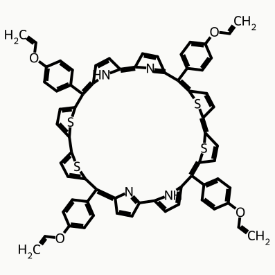 C=COc1ccc(-c2c3nc(c4ccc([nH]4)c(-c4ccc(OC=C)cc4)c4ccc(s4)c4ccc(s4)c(-c4ccc(OC=C)cc4)c4nc(c5ccc([nH]5)c(-c5ccc(OC=C)cc5)c5ccc(s5)c5ccc2s5)C=C4)C=C3)cc1